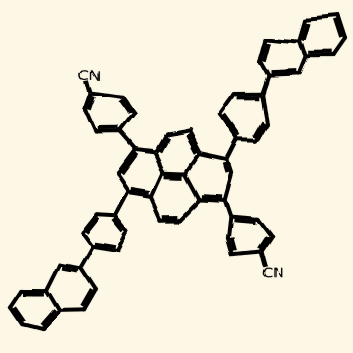 N#Cc1ccc(-c2cc(-c3ccc(-c4ccc5ccccc5c4)cc3)c3ccc4c(-c5ccc(C#N)cc5)cc(-c5ccc(-c6ccc7ccccc7c6)cc5)c5ccc2c3c45)cc1